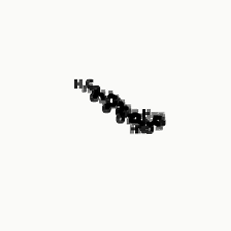 CCOC(=O)CCN1CCN(CC2CN(c3ccc(C(=N)NC(=O)c4ccsc4)cc3)C(=O)O2)CC1=O